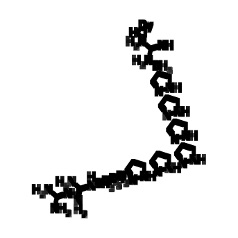 B.B.B.B.B.Cl.N=C(N)N.N=C(N)N.N=C(N)N.[Dy].c1cn[nH]c1.c1cn[nH]c1.c1cn[nH]c1.c1cn[nH]c1.c1cn[nH]c1.c1cn[nH]c1